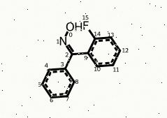 ON=C(c1ccccc1)c1ccccc1F